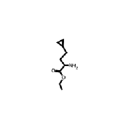 CCOC(=O)C(N)CCC1CC1